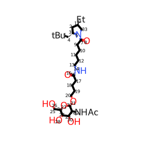 CC[C@@H]1C[C@@H](CC(C)(C)C)N(C(=O)CCCCCNC(=O)CCCCOC2OC(CO)C(O)[C@H](O)C2NC(C)=O)C1